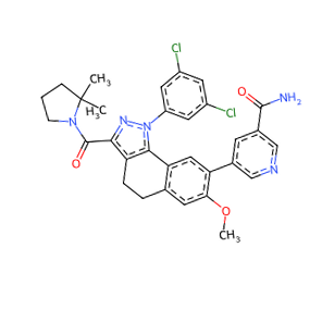 COc1cc2c(cc1-c1cncc(C(N)=O)c1)-c1c(c(C(=O)N3CCCC3(C)C)nn1-c1cc(Cl)cc(Cl)c1)CC2